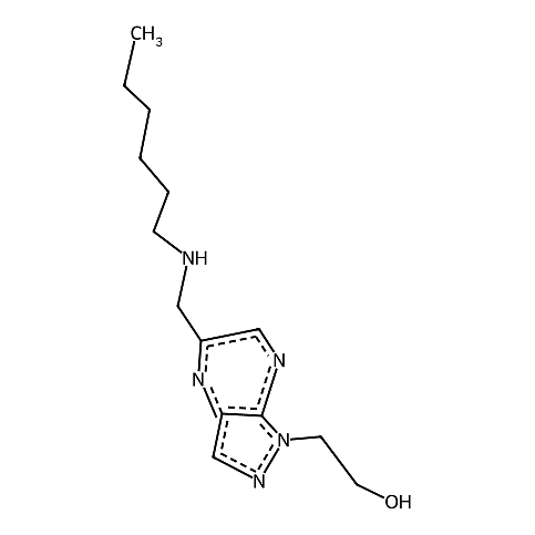 CCCCCCNCc1cnc2c(cnn2CCO)n1